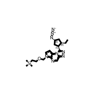 CC[C@@H]1C[C@@H](N=[N+]=[N-])C[C@@H]1c1nnc2cnc3c(ccn3COCC[Si](C)(C)C)n12